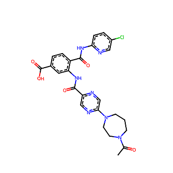 CC(=O)N1CCCN(c2cnc(C(=O)Nc3cc(C(=O)O)ccc3C(=O)Nc3ccc(Cl)cn3)cn2)CC1